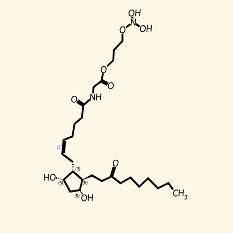 CCCCCCCC(=O)CC[C@@H]1[C@@H](C/C=C\CCCC(=O)NCC(=O)OCCCON(O)O)[C@@H](O)C[C@H]1O